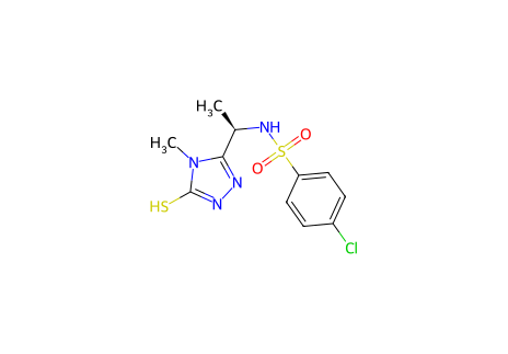 C[C@@H](NS(=O)(=O)c1ccc(Cl)cc1)c1nnc(S)n1C